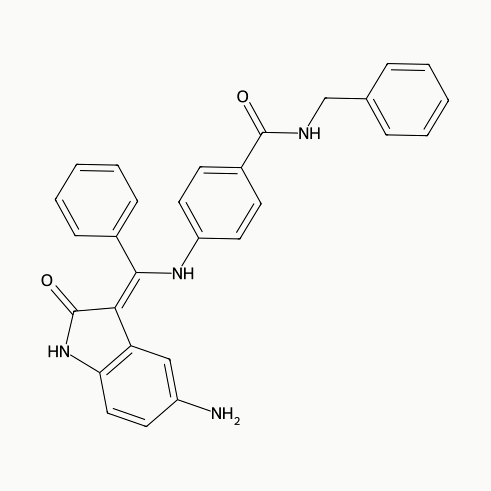 Nc1ccc2c(c1)C(=C(Nc1ccc(C(=O)NCc3ccccc3)cc1)c1ccccc1)C(=O)N2